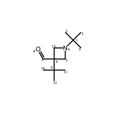 CC(C)(C)N1CC(C=O)(C(C)(C)C)C1